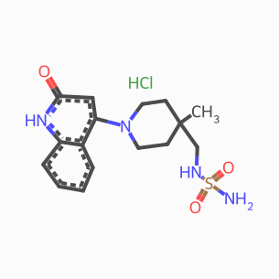 CC1(CNS(N)(=O)=O)CCN(c2cc(=O)[nH]c3ccccc23)CC1.Cl